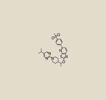 CC(C)c1cnc(N2CCC(C(C)Oc3nc4ccc(-c5ccc(S(C)(=O)=O)cc5)nc4s3)CC2)nc1